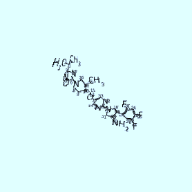 CC(C)c1noc(N2CC[C@@H](COc3cnc(N4C[C@H](c5cc(F)c(F)cc5F)[C@@H](N)C4)nc3)[C@@H](C)C2)n1